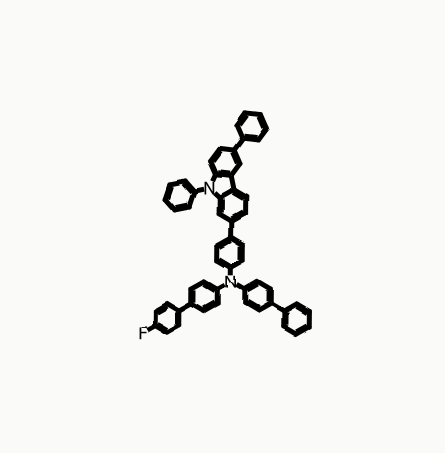 Fc1ccc(-c2ccc(N(c3ccc(-c4ccccc4)cc3)c3ccc(-c4ccc5c6cc(-c7ccccc7)ccc6n(-c6ccccc6)c5c4)cc3)cc2)cc1